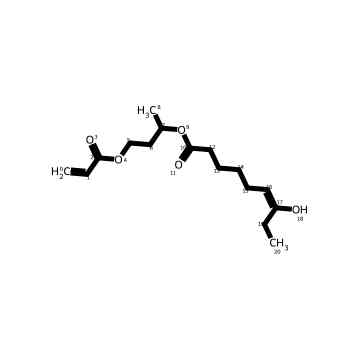 C=CC(=O)OCCC(C)OC(=O)CCCC/C=C(/O)CC